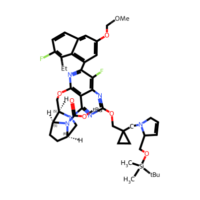 CCc1c(F)ccc2cc(OCOC)cc(-c3nc4c5c(nc(OCC6(CN7CC=CC7CO[Si](C)(C)C(C)(C)C)CC6)nc5c3F)N3C[C@H]5CC[C@@H]([C@H]3CO4)N5C(=O)OC(C)(C)C)c12